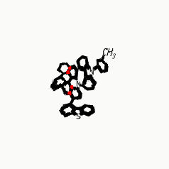 CC1C=CC=C(n2c3ccccc3c3c(N(c4ccc(-c5cccc6sc7ccccc7c56)cc4)c4ccccc4-c4cccc5cccc(C6CCCCC6)c45)cccc32)C1